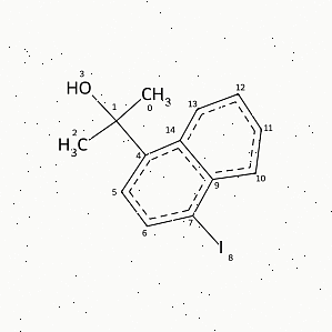 CC(C)(O)c1ccc(I)c2ccccc12